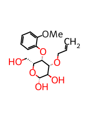 C=CCO[C@@H]1[C@@H](O)[C@H](O)O[C@H](CO)[C@@H]1Oc1ccccc1OC